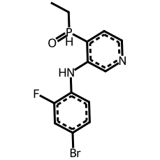 CC[PH](=O)c1ccncc1Nc1ccc(Br)cc1F